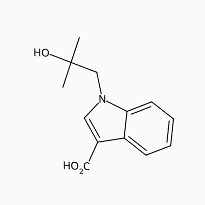 CC(C)(O)Cn1cc(C(=O)O)c2ccccc21